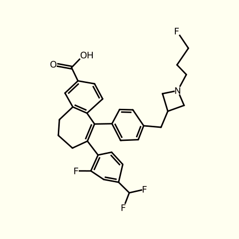 O=C(O)c1ccc2c(c1)CCCC(c1ccc(C(F)F)cc1F)=C2c1ccc(CC2CN(CCCF)C2)cc1